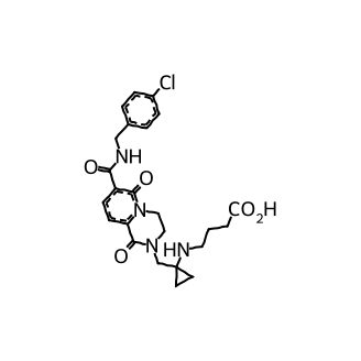 O=C(O)CCCNC1(CN2CCn3c(ccc(C(=O)NCc4ccc(Cl)cc4)c3=O)C2=O)CC1